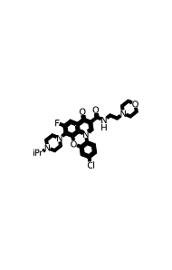 CC(C)N1CCN(c2c(F)cc3c(=O)c(C(=O)NCCN4CCOCC4)cn4c3c2Oc2cc(Cl)ccc2-4)CC1